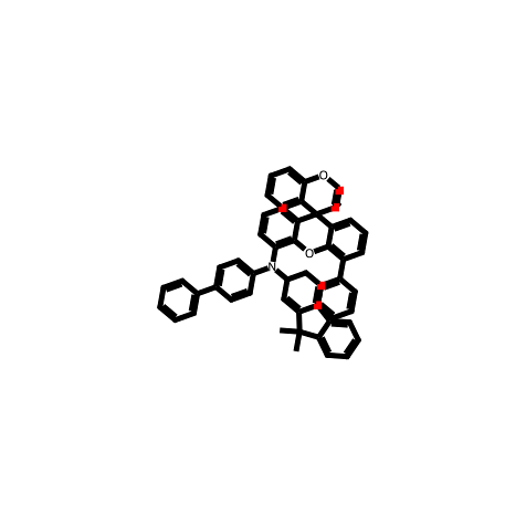 CC1(C)C2=CC(N(c3ccc(-c4ccccc4)cc3)c3cccc4c3Oc3c(-c5ccccc5)cccc3C43c4ccccc4Oc4ccccc43)CC=C2c2ccccc21